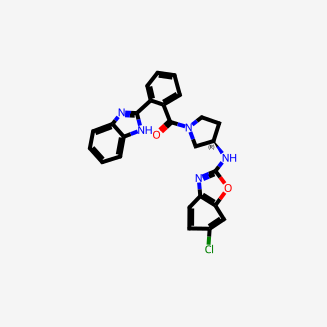 O=C(c1ccccc1-c1nc2ccccc2[nH]1)N1CC[C@@H](Nc2nc3ccc(Cl)cc3o2)C1